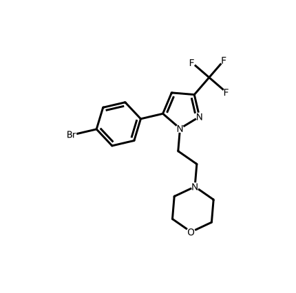 FC(F)(F)c1cc(-c2ccc(Br)cc2)n(CCN2CCOCC2)n1